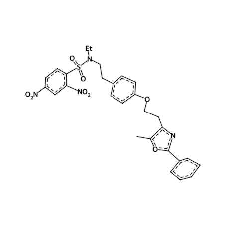 CCN(CCc1ccc(OCCc2nc(-c3ccccc3)oc2C)cc1)S(=O)(=O)c1ccc([N+](=O)[O-])cc1[N+](=O)[O-]